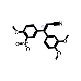 COc1ccc(/C(=C\C#N)c2ccc(OC)c([N+](=O)[O-])c2)cc1OC